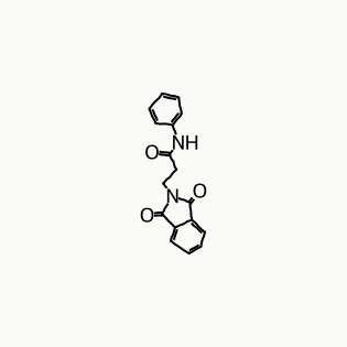 O=C(CCN1C(=O)c2ccccc2C1=O)Nc1ccccc1